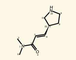 CN(C)C(=O)C=C[C@@H]1CCNC1